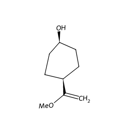 C=C(OC)[C@H]1CC[C@@H](O)CC1